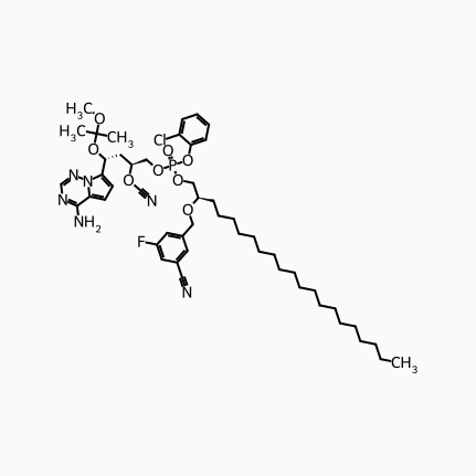 CCCCCCCCCCCCCCCCCCC[C@H](COP(=O)(OC[C@H](C[C@@H](OC(C)(C)OC)c1ccc2c(N)ncnn12)OC#N)Oc1ccccc1Cl)OCc1cc(F)cc(C#N)c1